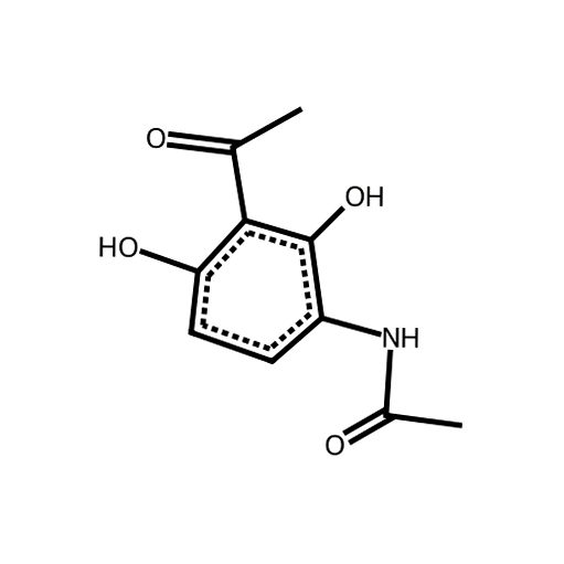 CC(=O)Nc1ccc(O)c(C(C)=O)c1O